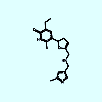 CCc1cc(C2CC=C(CNCc3cnn(C)c3)O2)c(C)[nH]c1=O